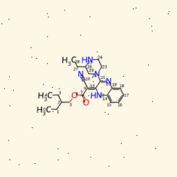 CCC(CC)COC(=O)/C(C#N)=C1\Nc2ccccc2N=C1N1CCNC(CC)C1